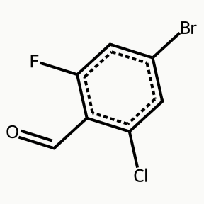 O=Cc1c(F)cc(Br)cc1Cl